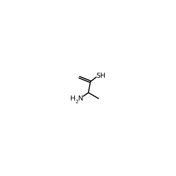 C=C(S)C(C)N